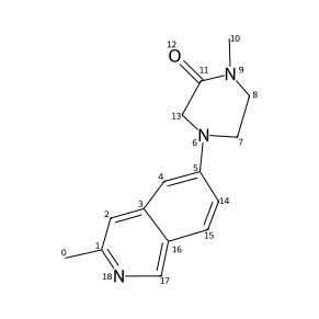 Cc1cc2cc(N3CCN(C)C(=O)C3)ccc2cn1